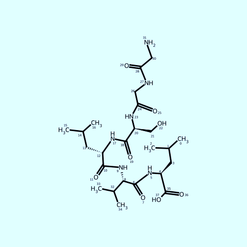 CC(C)C[C@H](NC(=O)[C@@H](NC(=O)[C@H](CC(C)C)NC(=O)[C@H](CO)NC(=O)CNC(=O)CN)C(C)C)C(=O)O